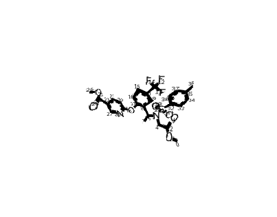 COC(=O)CN(C(C)c1cc(C(F)(F)F)ccc1Oc1ccc(C(=O)OC)cn1)S(=O)(=O)c1ccc(C)cc1